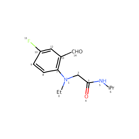 CCN(CC(=O)NC(C)C)c1ccc(F)cc1C=O